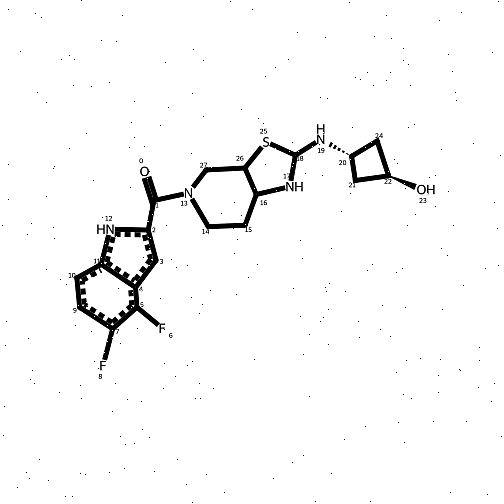 O=C(c1cc2c(F)c(F)ccc2[nH]1)N1CCC2NC(N[C@H]3C[C@H](O)C3)SC2C1